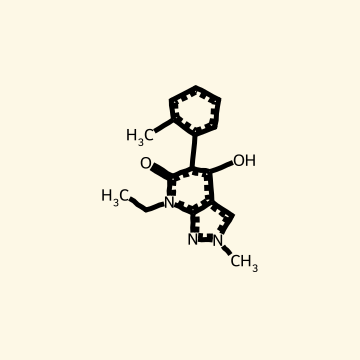 CCn1c(=O)c(-c2ccccc2C)c(O)c2cn(C)nc21